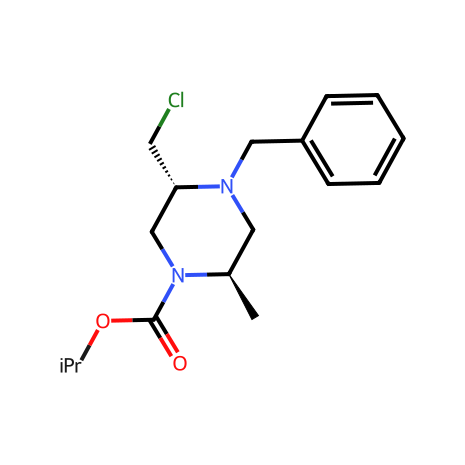 CC(C)OC(=O)N1C[C@H](CCl)N(Cc2ccccc2)C[C@H]1C